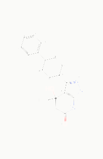 O=C1CC(O)(C(F)(F)F)c2c(C3CCC(c4ccccc4)CC3)n[nH]c2N1